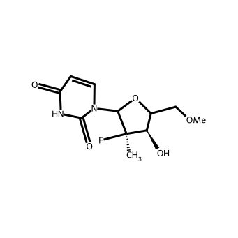 COCC1OC(n2ccc(=O)[nH]c2=O)[C@](C)(F)[C@@H]1O